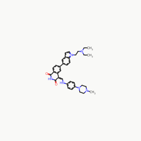 CCN(CC)CCn1ccc2cc(-c3ccc4c(c3)C(=CNc3ccc(N5CCN(C)CC5)cc3)C(=O)NC4=O)ccc21